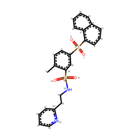 Cc1ccc(S(=O)(=O)c2cccc3ccccc23)cc1S(=O)(=O)NCCc1ccccn1